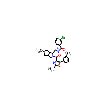 Cc1cccc(-c2sc(C)nc2C(=O)N2CC3CC(C)CC3C2CNC(=O)c2cccc(Br)c2)c1